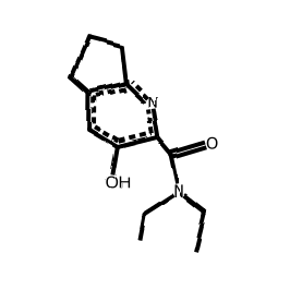 CCN(CC)C(=O)c1nc2c(cc1O)CCC2